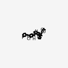 CC(NCCS(=O)(=O)C(C)C)C1(c2ccc3ncnc(Nc4ccc(OCc5cccc(F)c5)c(Cl)c4)c3c2)CC=CO1